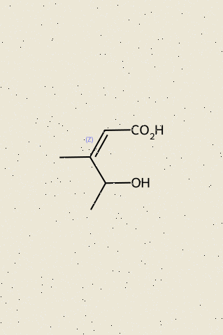 C/C(=C/C(=O)O)C(C)O